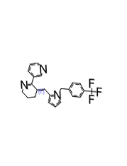 FC(F)(F)c1ccc(Cn2cccc2/C=C2\CCCN=C2c2cccnc2)cc1